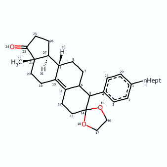 CCCCCCCc1ccc(C2C3CC[C@@H]4C(=C3CCC23OCCO3)CC[C@]2(C)C(=O)CC[C@@H]42)cc1